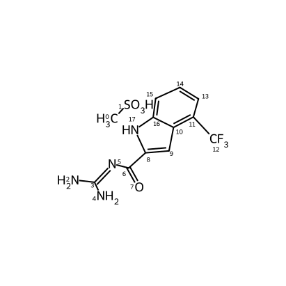 CS(=O)(=O)O.NC(N)=NC(=O)c1cc2c(C(F)(F)F)cccc2[nH]1